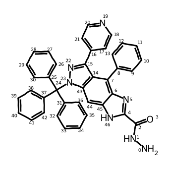 NNC(=O)c1nc2c(-c3ccccc3)c3c(-c4ccncc4)nn(C(c4ccccc4)(c4ccccc4)c4ccccc4)c3cc2[nH]1